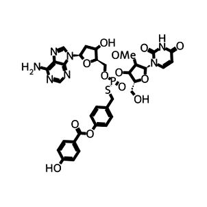 COC1C(OP(=O)(OC[C@H]2O[C@@H](n3cnc4c(N)ncnc43)CC2O)SCc2ccc(OC(=O)c3ccc(O)cc3)cc2)[C@@H](CO)O[C@H]1n1ccc(=O)[nH]c1=O